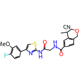 COc1cc(-c2csc(NC(=O)CNC(=O)c3ccc4c(c3)[C@](C)(C#N)COC4)n2)ccc1F